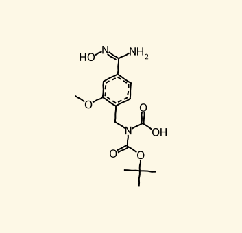 COc1cc(/C(N)=N\O)ccc1CN(C(=O)O)C(=O)OC(C)(C)C